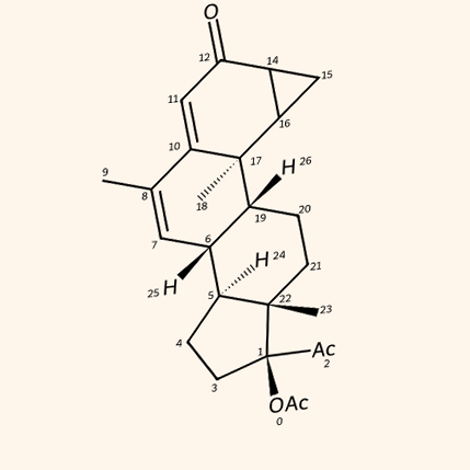 CC(=O)O[C@@]1(C(C)=O)CC[C@H]2[C@@H]3C=C(C)C4=CC(=O)C5CC5[C@@]4(C)[C@@H]3CC[C@@]21C